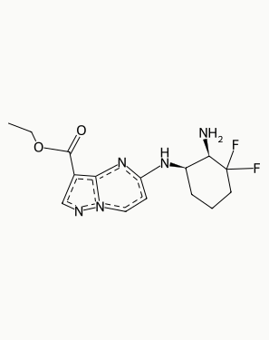 CCOC(=O)c1cnn2ccc(N[C@@H]3CCCC(F)(F)[C@@H]3N)nc12